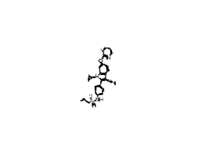 CCCS(=O)(=O)Nc1ccc(-c2c(C#N)c3ccc(Oc4ncccn4)cc3n2C2CC2)cc1